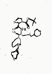 CC(C)(C)OC(=O)N1[CH]CSC1C(=O)N[C@@H](CSCC1CCCCC1)C(=O)N1CCN(c2ccncc2)CC1